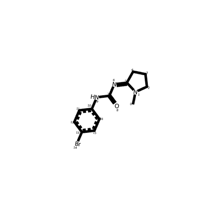 CN1CCCC1=NC(=O)Nc1ccc(Br)cc1